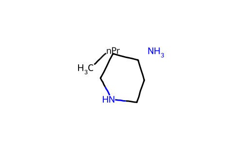 C1CCNCC1.CCCC.N